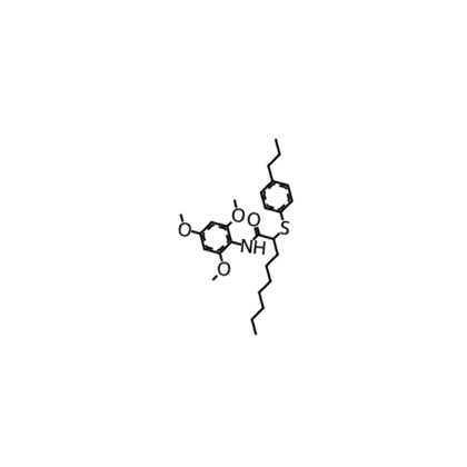 CCCCCCCC(Sc1ccc(CCC)cc1)C(=O)Nc1c(OC)cc(OC)cc1OC